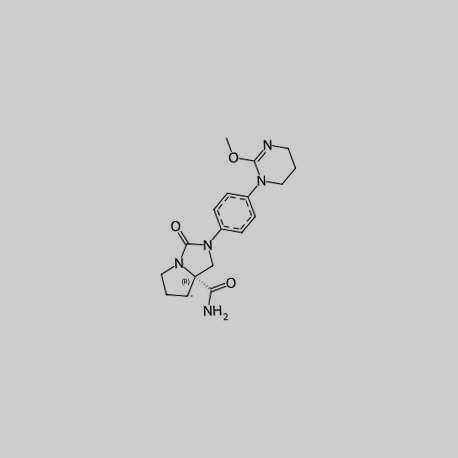 COC1=NCCCN1c1ccc(N2C[C@@]3(C(N)=O)[CH]CCN3C2=O)cc1